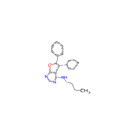 CCCCNc1ncnc2oc(-c3ccccc3)c(-c3ccccc3)c12